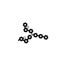 Cc1ccc2oc3c(-c4ccc(N(c5ccc(-c6ccc(-c7ccccc7)cc6)cc5)c5cccc(-c6cccc7c6oc6ccccc67)c5)cc4)cccc3c2c1